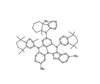 Cc1cc2c(cc1N1c3ccc(C(C)(C)C)cc3B3c4sc5ccc(C(C)(C)C)cc5c4N(c4ccc5c(c4)C(C)(C)CCC5(C)C)c4cc(N5c6ccccc6C6(C(C)(C)C)CCCCC56C)cc1c43)C(C)(C)CCC2(C)C